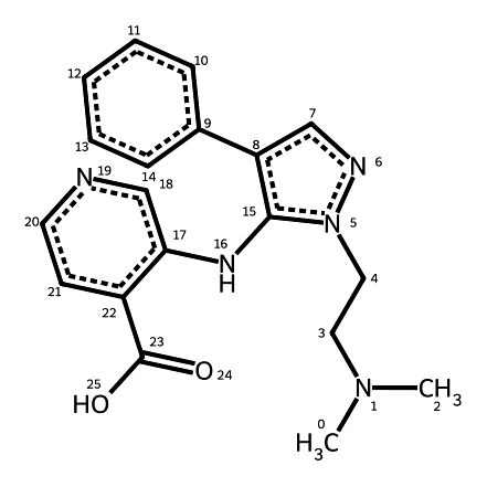 CN(C)CCn1ncc(-c2ccccc2)c1Nc1cnccc1C(=O)O